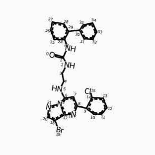 O=C(NCCNc1cc(-c2ccccc2Cl)nc2c(Br)cnn12)Nc1ccccc1-c1ccccc1